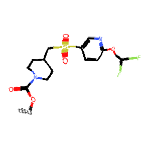 CC(C)(C)OC(=O)N1CCC(CS(=O)(=O)c2ccc(OC(F)F)nc2)CC1